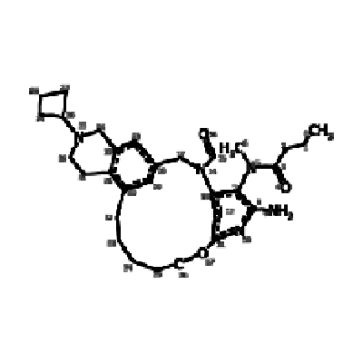 CCCC(=O)N(C)c1c(N)nc2nc1N(C=O)Cc1cc(c3c(c1)CN(C1CCC1)CC3)CCCCCO2